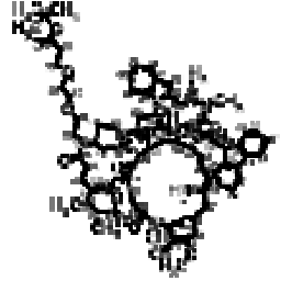 COc1cc2cc(c1Cl)N(C)C(=O)C[C@H](OC(=O)[C@H](C)N(C)C(=O)CCC(=O)N(CCOCCOCCC(=O)OC(C)(C)C)C1CCN(C(=O)CCn3c(CN(C)N(C)C(=O)OCC4c5ccccc5-c5ccccc54)cc4ccccc43)CC1)C1(C)OC1[C@H](C)[C@@H]1C[C@@](O)(NC(=O)O1)[C@H](OC)/C=C/C=C(\C)C2